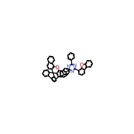 c1ccc(-c2nc(-c3ccc(-c4cccc5c4C4(c6ccccc6-5)c5ccc6ccccc6c5Oc5c4ccc4ccccc54)cc3)nc(-c3cccc4c3oc3ccccc34)n2)cc1